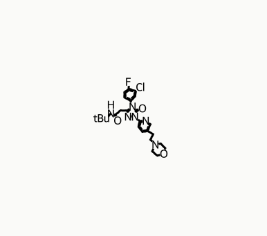 CC(C)(C)NC(=O)Cc1nn(-c2ccc(CCN3CCOCC3)cn2)c(=O)n1-c1ccc(F)c(Cl)c1